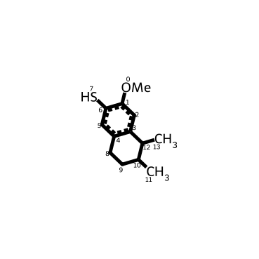 COc1cc2c(cc1S)CCC(C)C2C